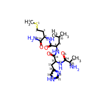 CSCCC(NC(=O)C(CC(C)C)NC(=O)C(Cc1c[nH]cn1)NC(=O)C(C)N)C(N)=O